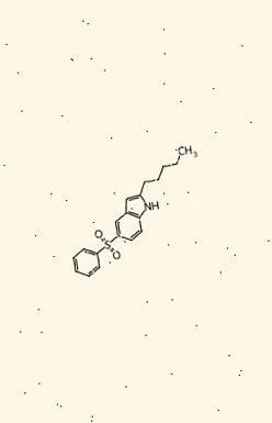 CCCCCc1cc2cc(S(=O)(=O)c3ccccc3)ccc2[nH]1